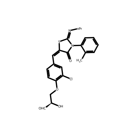 CCC/N=C1/S/C(=C/c2ccc(OC[C@@H](O)C=O)c(Cl)c2)C(=O)N1c1ccccc1C